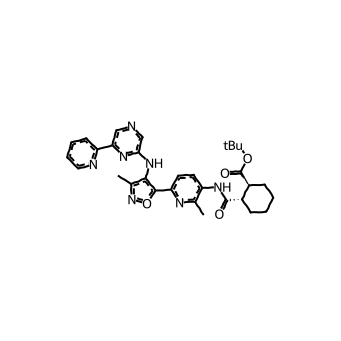 Cc1nc(-c2onc(C)c2Nc2cncc(-c3ccccn3)n2)ccc1NC(=O)[C@H]1CCCC[C@@H]1C(=O)OC(C)(C)C